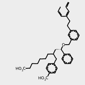 C=C/C=C(\C=C/C)CCc1cccc(CO[C@@H](CC(CCCCCCC(=O)O)Cc2ccc(C(=O)O)cc2)c2ccccc2)c1